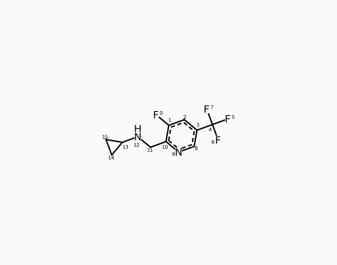 Fc1cc(C(F)(F)F)cnc1CNC1CC1